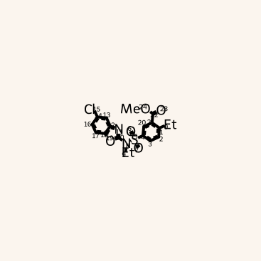 CCc1ccc(S(=O)(=O)N(CC)c2nc3cc(Cl)ccc3o2)cc1C(=O)OC